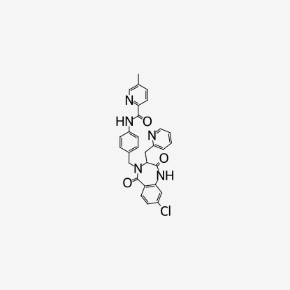 Cc1ccc(C(=O)Nc2ccc(CN3C(=O)c4ccc(Cl)cc4NC(=O)C3Cc3ccccn3)cc2)nc1